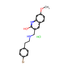 COc1ccc2cc(CNCCc3ccc(Br)cc3)c(O)nc2c1.Cl